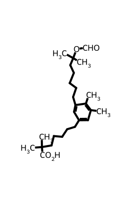 Cc1cc(CCCCCC(C)(C)C(=O)O)cc(CCCCCC(C)(C)OC=O)c1C